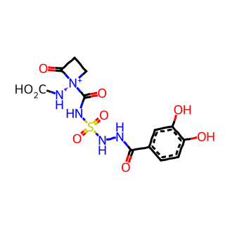 O=C(O)N[N@@+]1(C(=O)NS(=O)(=O)NNC(=O)c2ccc(O)c(O)c2)CCC1=O